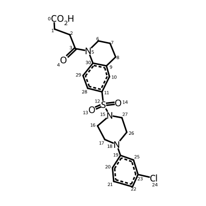 O=C(O)CCC(=O)N1CCCc2cc(S(=O)(=O)N3CCN(c4cccc(Cl)c4)CC3)ccc21